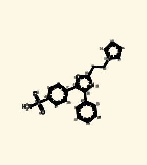 NS(=O)(=O)c1ccc(-c2oc(CCn3cccc3)nc2-c2ccccc2)cc1